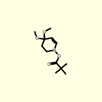 COC1(OC)C=CN(OC(=O)C(C)(C)C)CC1